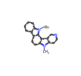 CCCCn1c2ccccc2c2ccc3c(c4cnccc4n3C)c21